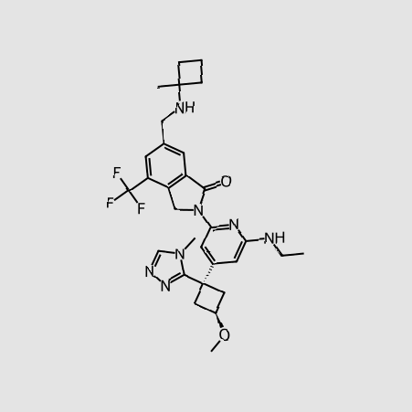 CCNc1cc([C@]2(c3nncn3C)C[C@@H](OC)C2)cc(N2Cc3c(cc(CNC4(C)CCC4)cc3C(F)(F)F)C2=O)n1